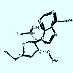 C[SiH](C)[C@@]1(n2cnc3c(O)ncnc32)O[C@H](CO)C[C@H]1OC(C)(C)C